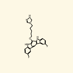 Fc1ccc2[nH]c3c(OCCCCCN4C=NNC4)c4[nH]c5ccc(F)cc5c4cc3c2c1